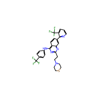 FC(F)(F)c1ccc(Nc2nc(CCN3CCSCC3)nc3cc(-c4ncccc4C(F)(F)F)ccc23)cc1